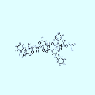 CCCC(NC(=O)C1CC(C)(Cc2ccccc2)CC1C(=O)[C@@H](NC(=O)OCC(C)C)C1CCCCC1)C(=O)C(=O)NCC(=O)N[C@H](C(N)=O)c1ccccc1